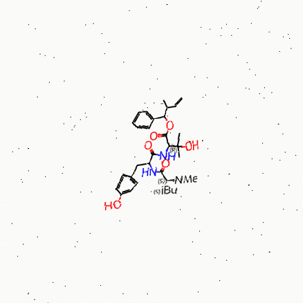 C=CC(C)C(OC(=O)[C@H](NC(=O)C(Cc1ccc(O)cc1)NC(=O)[C@@H](NC)[C@@H](C)CC)C(C)(C)O)c1ccccc1